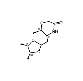 C[C@@H]1OC(C[C@@H]2NC(=O)CO[C@@H]2C)O[C@@H]1C